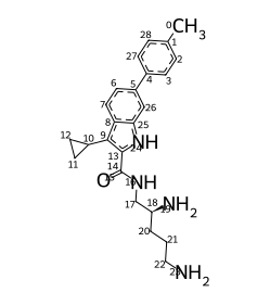 Cc1ccc(-c2ccc3c(C4CC4)c(C(=O)NC[C@@H](N)CCCN)[nH]c3c2)cc1